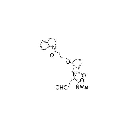 CNC(=O)C(CCC=O)N1Cc2c(OCCCC(=O)N3CCCc4ccccc43)cccc2C1=O